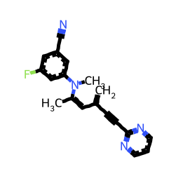 C=C(C#Cc1ncccn1)/C=C(/C)N(C)c1cc(F)cc(C#N)c1